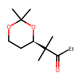 CCC(=O)C(C)(C)[C@H]1CCOC(C)(C)O1